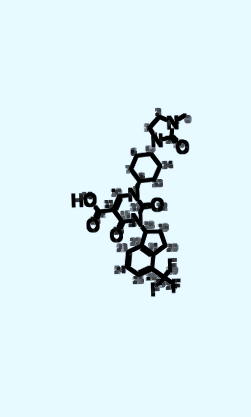 CN1CCN([C@H]2CC[C@H](n3cc(C(=O)O)c(=O)n(C4CCc5c4cccc5C(F)(F)F)c3=O)CC2)C1=O